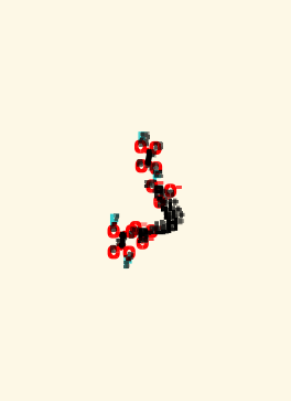 O=C(OF)C(=O)OF.O=C(OF)C(=O)OF.[Li+].[Li+].[Li+].[Li+].[Li+].[Li+].[O-]B([O-])[O-].[O-]B([O-])[O-]